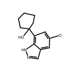 OC1(c2cc(Cl)cc3cn[nH]c23)CCCCC1